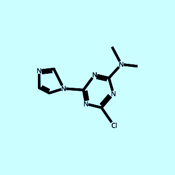 CN(C)c1nc(Cl)nc(-n2ccnc2)n1